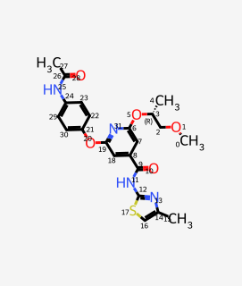 COC[C@@H](C)Oc1cc(C(=O)Nc2nc(C)cs2)cc(Oc2ccc(NC(C)=O)cc2)n1